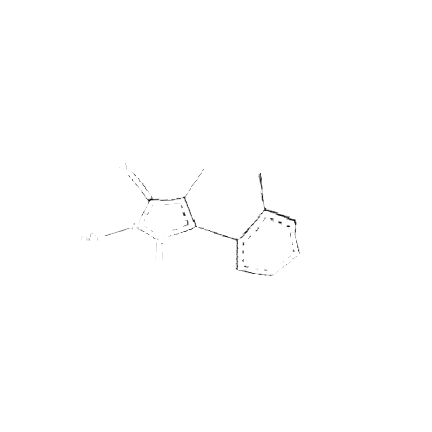 CCCn1[nH]c(-c2ccccc2C)c(C)c1=O